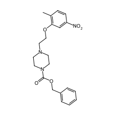 Cc1ccc([N+](=O)[O-])cc1OCCN1CCN(C(=O)OCc2ccccc2)CC1